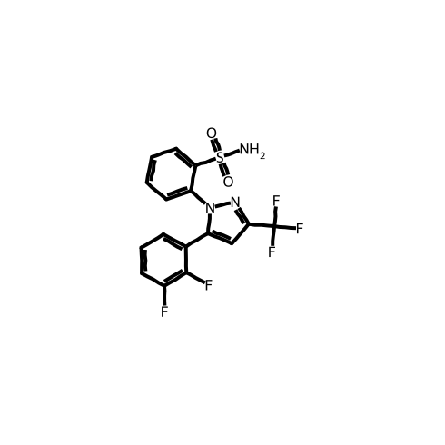 NS(=O)(=O)c1ccccc1-n1nc(C(F)(F)F)cc1-c1cccc(F)c1F